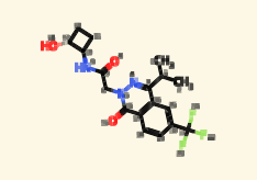 CC(C)c1nn(CC(=O)N[C@@H]2CC[C@H]2O)c(=O)c2ccc(C(F)(F)F)cc12